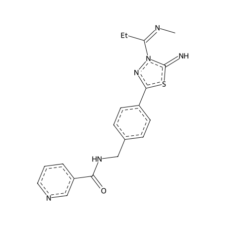 CC/C(=N/C)n1nc(-c2ccc(CNC(=O)c3cccnc3)cc2)sc1=N